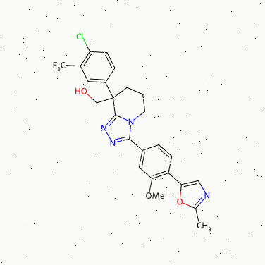 COc1cc(-c2nnc3n2CCCC3(CO)c2ccc(Cl)c(C(F)(F)F)c2)ccc1-c1cnc(C)o1